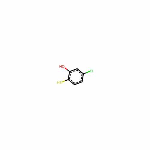 Oc1cc(Cl)ccc1S